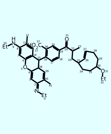 CC/N=C1/C=C2Oc3cc(NCC)c(C)cc3C(c3ccc(C(=O)C(C)CC4/C=C/CCC(OCC)CC4)cc3C(=O)O)C2C=C1C